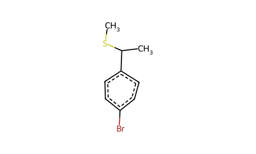 CSC(C)c1ccc(Br)cc1